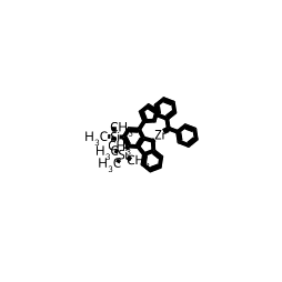 C[Si](C)(C)c1cc(C2=CC=CC2)c2c(c1[Si](C)(C)C)-c1ccccc1[CH]2[Zr]=[C](c1ccccc1)c1ccccc1